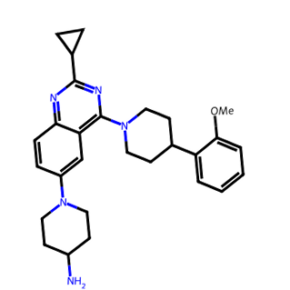 COc1ccccc1C1CCN(c2nc(C3CC3)nc3ccc(N4CCC(N)CC4)cc23)CC1